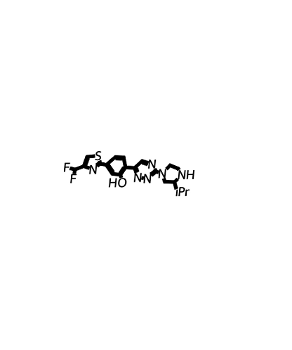 CC(C)C1CN(c2ncc(-c3ccc(-c4nc(C(F)F)cs4)cc3O)nn2)CCN1